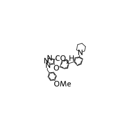 COc1ccc(Cn2nnc(C(=O)O)c2Oc2ccc(-c3cccc(N4CCCCC4)c3)cc2)cc1